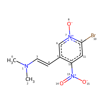 CN(C)C=Cc1c[n+]([O-])c(Br)cc1[N+](=O)[O-]